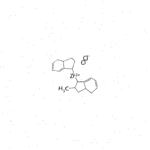 CC1CC2CC=CC=C2[CH]1[Zr+2][CH]1CCC2CC=CC=C21.[Cl-].[Cl-]